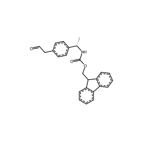 C[C@H](NC(=O)OCC1c2ccccc2-c2ccccc21)c1ccc(CC=O)cc1